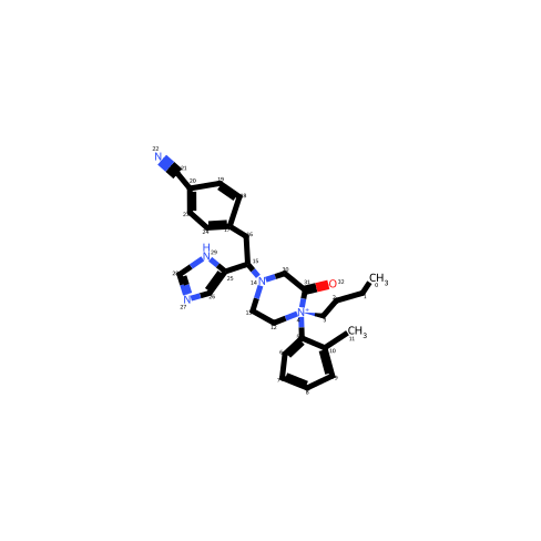 CCCC[N@@+]1(c2ccccc2C)CCN(C(Cc2ccc(C#N)cc2)c2cnc[nH]2)CC1=O